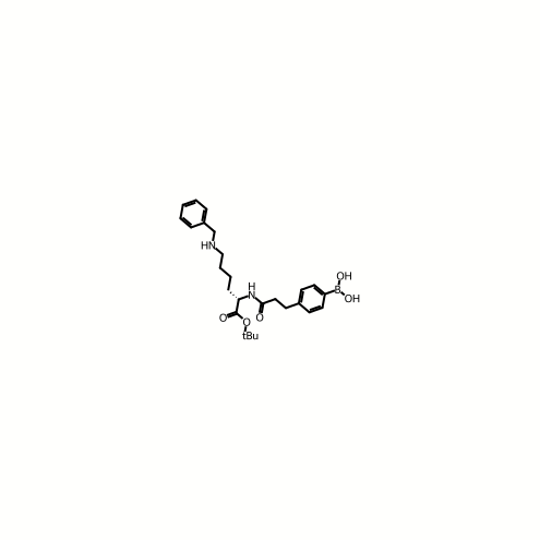 CC(C)(C)OC(=O)[C@H](CCCCNCc1ccccc1)NC(=O)CCc1ccc(B(O)O)cc1